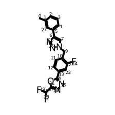 Cc1cccc(-c2cn(Cc3ccc(-c4nnc(C(F)F)o4)cc3F)nn2)c1